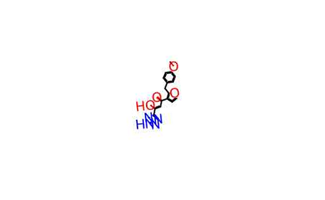 COc1ccc(Cc2occc2C(=O)C=C(O)c2nn[nH]n2)cc1